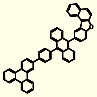 c1ccc2c(c1)ccc1oc3ccc(-c4c5ccccc5c(-c5ccc(-c6ccc7c8ccccc8c8ccccc8c7c6)cc5)c5ccccc45)cc3c12